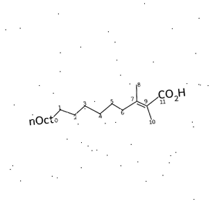 CCCCCCCCCCCCCC/C(C)=C(\C)C(=O)O